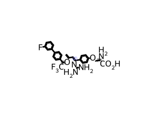 C=C(/C=C(\N=C(N)N)c1ccc(OC[C@H](N)C(=O)O)cc1)O[C@H](c1ccc(-c2cccc(F)c2)cc1)C(F)(F)F